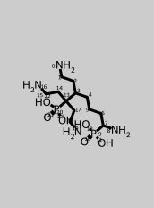 NCCC(CCCC(N)P(=O)(O)O)C(CCN)(CCN)P(=O)(O)O